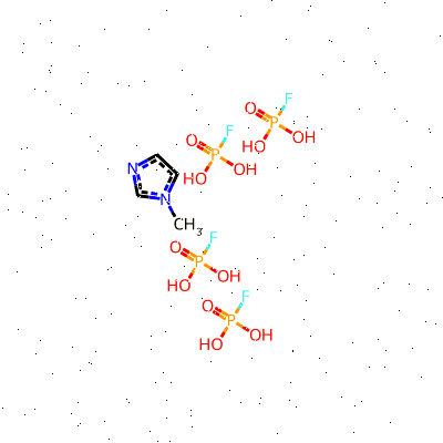 Cn1ccnc1.O=P(O)(O)F.O=P(O)(O)F.O=P(O)(O)F.O=P(O)(O)F